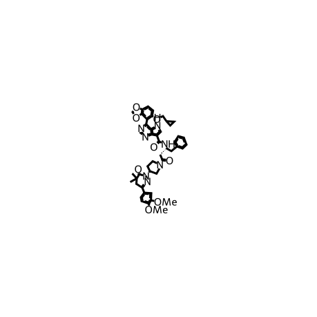 COc1ccc(C2=NN(C3CCN(C(=O)C[C@@H](Cc4ccccc4)NC(=O)c4c[nH]c5c(-c6c(OCC7CC7)ccc7c6OCO7)ncnc45)CC3)C(=O)C(C)(C)C2)cc1OC